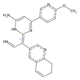 COc1ccc(C2=N/C(=C(/C=N)c3cnc4c(c3)C=CCC4)NC(N)=C2)cn1